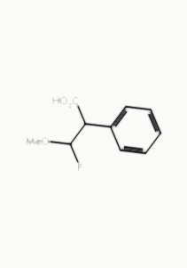 COC(F)C(C(=O)O)c1ccccc1